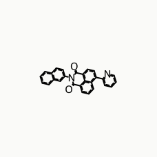 O=C1c2cccc3c(-c4ccccn4)ccc(c23)C(=O)N1c1ccc2ccccc2c1